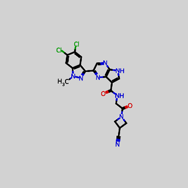 Cn1nc(-c2cnc3[nH]cc(C(=O)NCC(=O)N4CC(C#N)C4)c3n2)c2cc(Cl)c(Cl)cc21